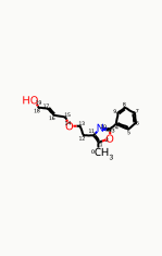 Cc1oc(-c2ccccc2)nc1CCOCC=CCO